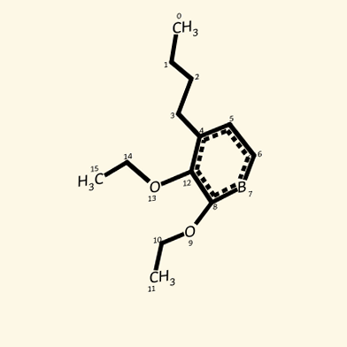 CCCCc1ccbc(OCC)c1OCC